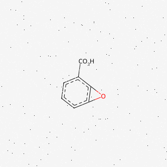 O=C(O)c1cccc2c1O2